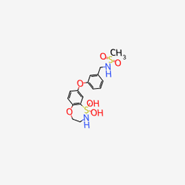 CS(=O)(=O)NCc1cccc(Oc2ccc3c(c2)S(O)(O)NCCO3)c1